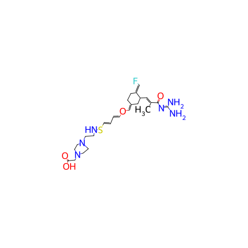 C/C(=C\C1C/C(=C/O/C=C/C=C/SNCCN2CCN(CC(=O)O)CC2)CC/C1=C\F)C(=O)N=C(N)N